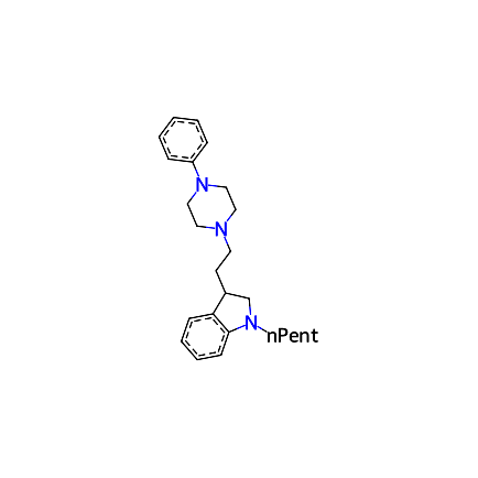 CCCCCN1CC(CCN2CCN(c3ccccc3)CC2)c2ccccc21